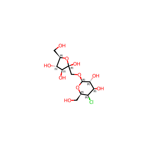 OC[C@H]1O[C@](O)(CO[C@@H]2O[C@H](CO)[C@H](Cl)[C@H](O)[C@H]2O)[C@@H](O)[C@@H]1O